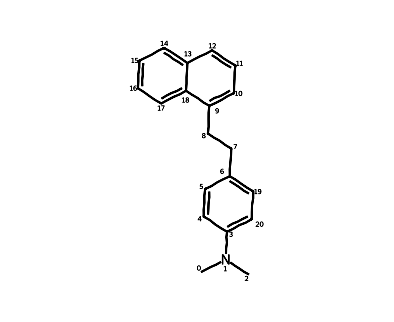 CN(C)c1ccc(CCc2cccc3ccccc23)cc1